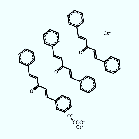 O=C(C=Cc1ccccc1)C=Cc1ccccc1.O=C(C=Cc1ccccc1)C=Cc1ccccc1.O=C(C=Cc1ccccc1)C=Cc1ccccc1.O=C([O-])[O-].[Cs+].[Cs+]